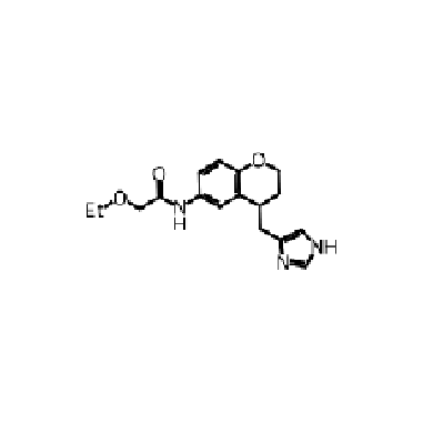 CCOCC(=O)Nc1ccc2c(c1)C(Cc1c[nH]cn1)CCO2